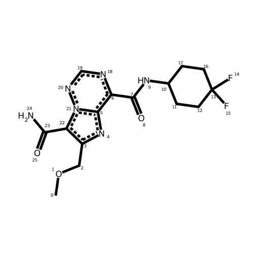 COCc1nc2c(C(=O)NC3CCC(F)(F)CC3)ncnn2c1C(N)=O